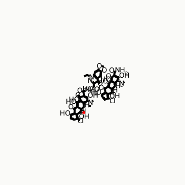 CCn1nc(C(=O)O)c(=O)c2cc3c(cc21)OCO3.CN(C)[C@@H]1C(O)=C(C(N)=O)C(=O)[C@@]2(O)C(O)=C3C(=O)c4c(O)ccc(Cl)c4[C@@](C)(O)[C@H]3C[C@@H]12.CN(C)[C@@H]1C(O)=C(C(N)=O)C(=O)[C@@]2(O)C(O)=C3C(=O)c4c(O)ccc(Cl)c4[C@@](C)(O)[C@H]3C[C@@H]12